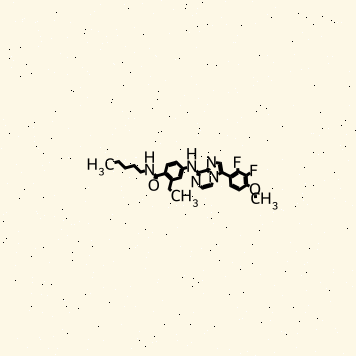 CCCCCNC(=O)c1ccc(Nc2nccn3c(-c4ccc(OC)c(F)c4F)cnc23)cc1CC